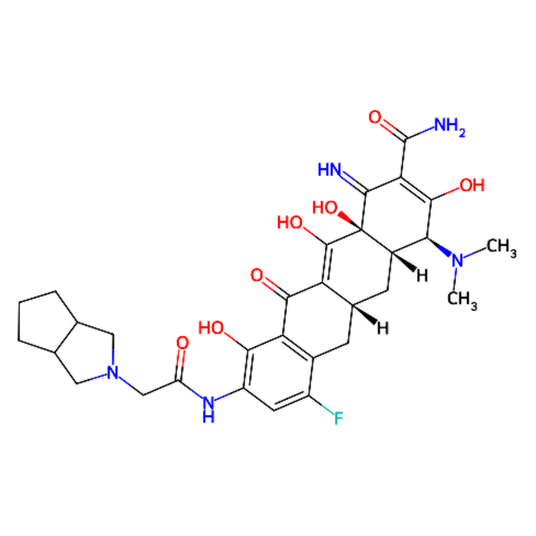 CN(C)[C@@H]1C(O)=C(C(N)=O)C(=N)[C@@]2(O)C(O)=C3C(=O)c4c(O)c(NC(=O)CN5CC6CCCC6C5)cc(F)c4C[C@H]3C[C@@H]12